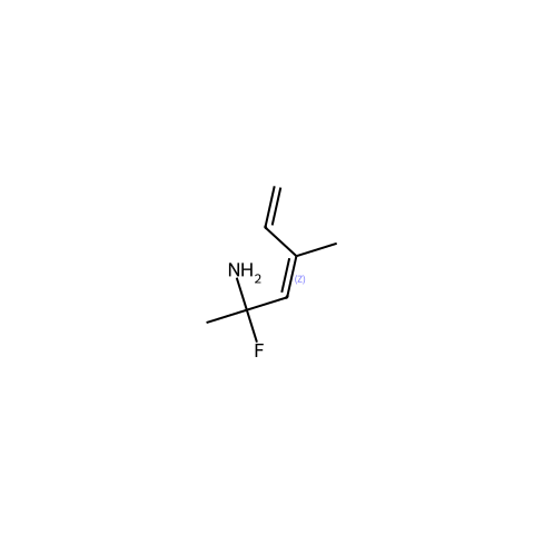 C=C/C(C)=C\C(C)(N)F